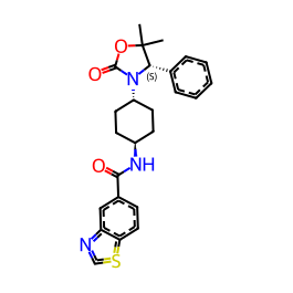 CC1(C)OC(=O)N([C@H]2CC[C@H](NC(=O)c3ccc4scnc4c3)CC2)[C@H]1c1ccccc1